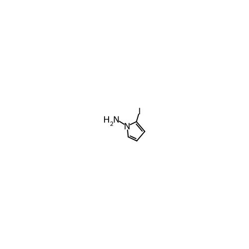 Nn1cccc1I